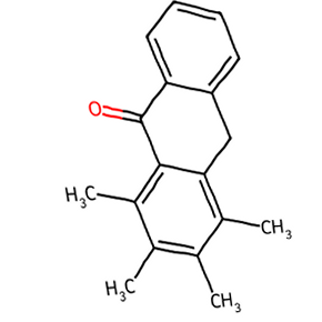 Cc1c(C)c(C)c2c(c1C)Cc1ccccc1C2=O